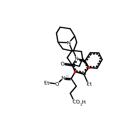 CCO/N=C(\CCC(=O)O)c1nc2ccccc2n(C2CC3CCCC(C2)N3C2CC3CC(CC)CC(C3)C2)c1=O